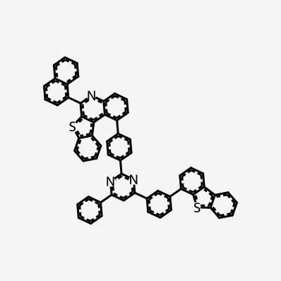 c1ccc(-c2cc(-c3cccc(-c4cccc5c4sc4ccccc45)c3)nc(-c3ccc(-c4cccc5nc(-c6cccc7ccccc67)c6sc7ccccc7c6c45)cc3)n2)cc1